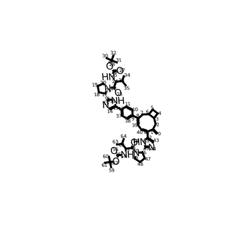 C=C1CC2CCC2C/C(c2ccc(-c3cnc([C@@H]4CCCN4C(=O)[C@@H](NC(=O)OC(C)(C)C)C(C)C)[nH]3)cc2)=C\C=C/1c1cnc([C@@H]2CCCN2C(=O)[C@@H](NC(=O)OC(C)(C)C)C(C)C)[nH]1